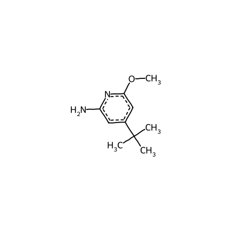 COc1cc(C(C)(C)C)cc(N)n1